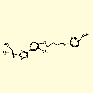 COc1ccc(CCOCCOc2ccc(-c3nnc(C(C)(N)CO)s3)cc2C(F)(F)F)cc1